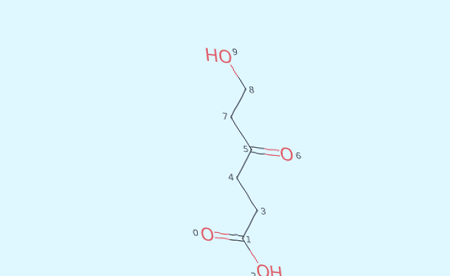 O=C(O)CCC(=O)CCO